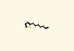 C=CCCCCCc1cccs1